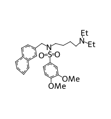 CCN(CC)CCCCN(Cc1ccc2ccccc2c1)S(=O)(=O)c1ccc(OC)c(OC)c1